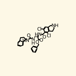 O=C(NC[C@H](NC(=O)c1c(Cl)cc2c(c1Cl)CCNC2)C(=O)OCc1ccccc1)N[C@@H]1CCc2ccccc21